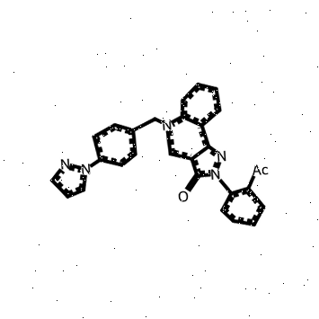 CC(=O)c1ccccc1-n1nc2c3ccccc3n(Cc3ccc(-n4cccn4)cc3)cc-2c1=O